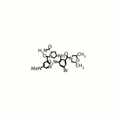 CNc1cncc(C(=O)N2C[C@H](Nc3c(C(=O)N4C[C@@H](C)O[C@@H](C)C4)cc(Br)cc3[N+](=O)[O-])C[C@H]2C(N)=O)c1